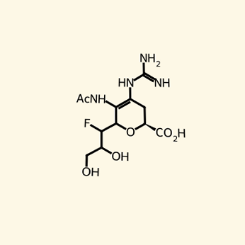 CC(=O)NC1=C(NC(=N)N)C[C@@H](C(=O)O)OC1C(F)C(O)CO